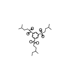 CCC(C)CCS(=O)(=O)c1cc(S(=O)(=O)CCC(C)C)cc(S(=O)(=O)CCC(C)C)c1